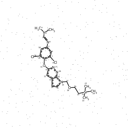 CN(C)/C=N/c1cc(Cl)c(Oc2cc3ccn(COCC[Si](C)(C)C)c3nn2)c(Cl)c1